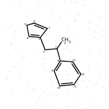 CC(CC1=CC[C]=C1)c1ccccc1